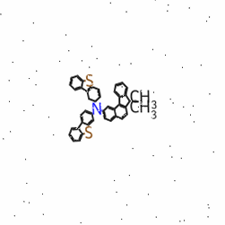 CC1(C)c2ccccc2-c2c1ccc1ccc(N(c3ccc4c(c3)sc3ccccc34)C3C=Cc4sc5ccccc5c4C3)cc21